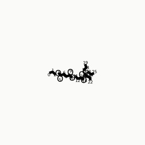 CCCOC(=O)/C=C/C(=O)OCCC(=O)O[Si](CCC)(CCC)CCC